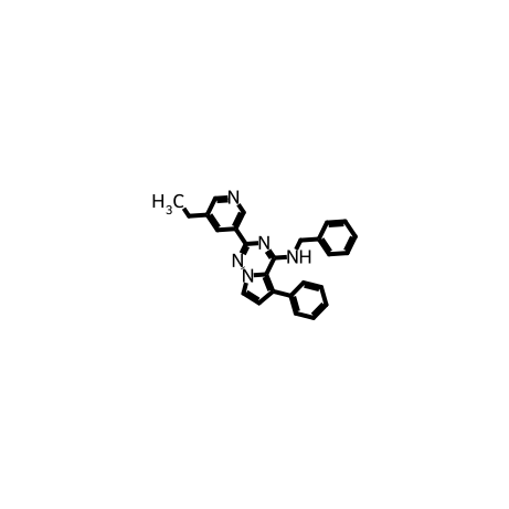 CCc1cncc(-c2nc(NCc3ccccc3)c3c(-c4ccccc4)ccn3n2)c1